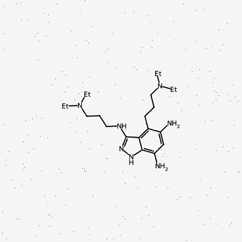 CCN(CC)CCCNc1n[nH]c2c(N)cc(N)c(CCCN(CC)CC)c12